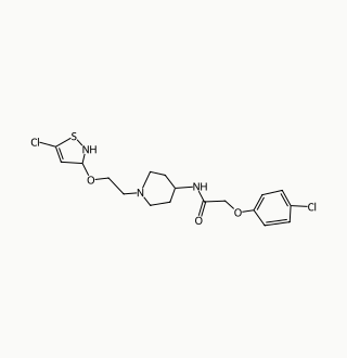 O=C(COc1ccc(Cl)cc1)NC1CCN(CCOC2C=C(Cl)SN2)CC1